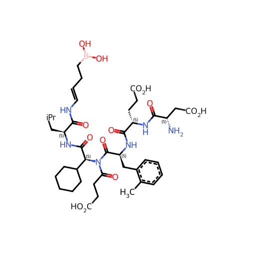 Cc1ccccc1C[C@H](NC(=O)[C@H](CCC(=O)O)NC(=O)[C@@H](N)CC(=O)O)C(=O)N(C(=O)CCC(=O)O)[C@H](C(=O)N[C@@H](CC(C)C)C(=O)NC=CCCB(O)O)C1CCCCC1